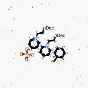 CCCCCCCCCCCC[n+]1ccccc1.CCCCCCCCCCCC[n+]1ccccc1.Cc1ccccc1.O=S(=O)([O-])[O-]